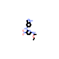 CCOC(C)Nc1ccc([N+](=O)[O-])c(Nc2ccc3[nH]ncc3c2)n1